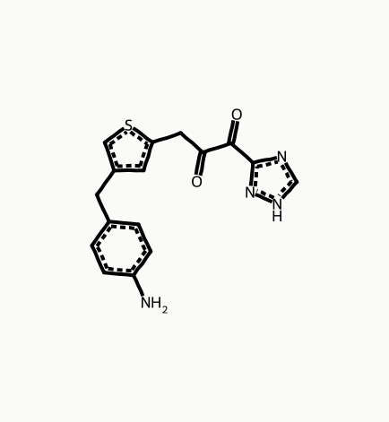 Nc1ccc(Cc2csc(CC(=O)C(=O)c3nc[nH]n3)c2)cc1